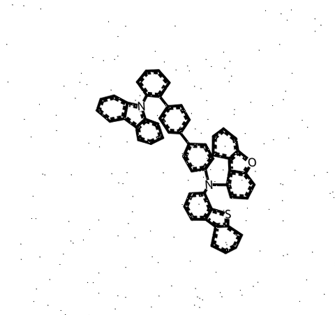 c1ccc(-n2c3ccccc3c3ccccc32)c(-c2ccc(-c3ccc(N(c4cccc5c4sc4ccccc45)c4cccc5oc6ccccc6c45)cc3)cc2)c1